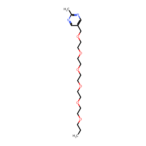 CCCOCCOCCOCCOCCOCCOCc1cnc(C)nc1